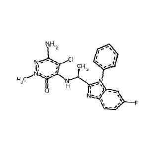 C[C@H](Nc1c(Cl)c(N)nn(C)c1=O)c1nc2ccc(F)cc2n1-c1ccccc1